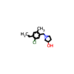 C=Cc1cc(C)c(CN2CC[C@@H](O)C2)cc1Cl